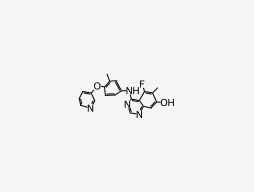 Cc1cc(Nc2ncnc3cc(O)c(C)c(F)c23)ccc1Oc1cccnc1